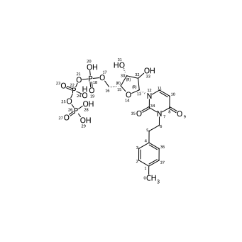 Cc1ccc(CCn2c(=O)ccn([C@@H]3O[C@H](COP(=O)(O)OP(=O)(O)OP(=O)(O)O)[C@H](O)C3O)c2=O)cc1